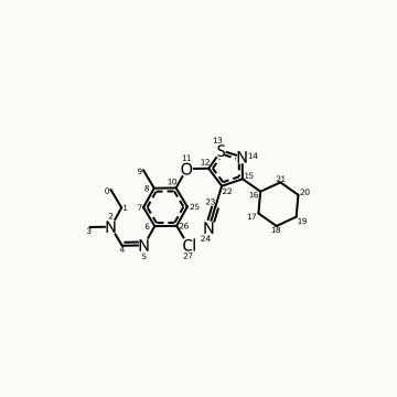 CCN(C)/C=N\c1cc(C)c(Oc2snc(C3CCCCC3)c2C#N)cc1Cl